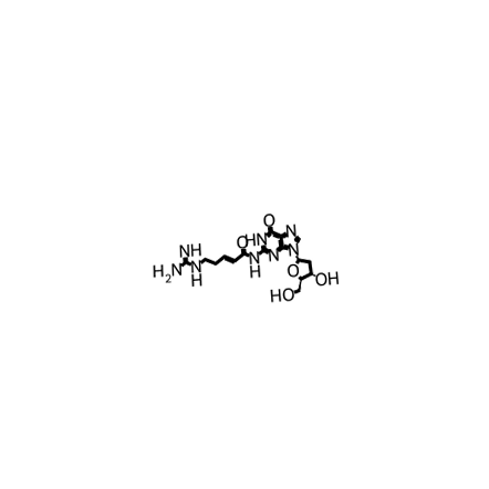 N=C(N)NCC/C=C/C(=O)Nc1nc2c(ncn2[C@H]2C[C@H](O)[C@@H](CO)O2)c(=O)[nH]1